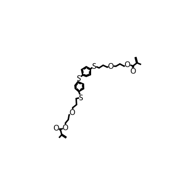 C=C(C)C(=O)OCCCOCCCSc1ccc(Sc2ccc(SCCCOCCCOC(=O)C(=C)C)cc2)cc1